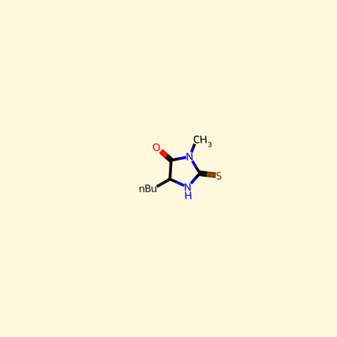 CCCCC1NC(=S)N(C)C1=O